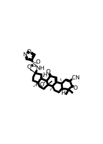 CC1(C)C(=O)C(C#N)=C[C@]2(C)C3=CC(=O)[C@]4(O)[C@@H]5C[C@@](C)(NS(=O)(=O)c6cnoc6)CC[C@]5(C)CC[C@@]4(C)[C@]3(C)CC[C@@H]12